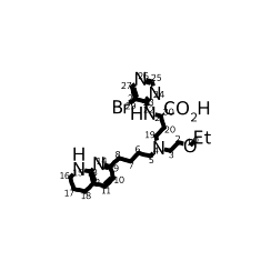 CCOCCN(CCCCc1ccc2c(n1)NCCC2)CC[C@H](Nc1ncncc1Br)C(=O)O